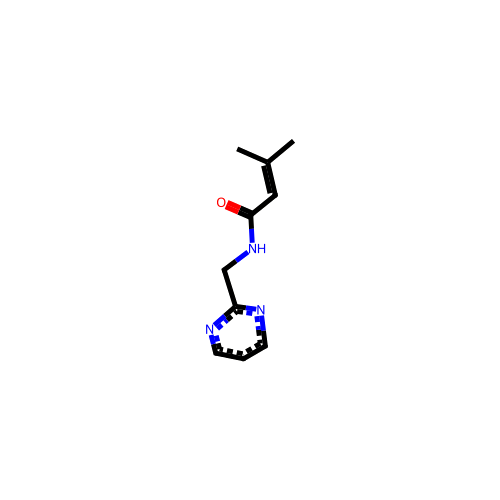 CC(C)=CC(=O)NCc1ncccn1